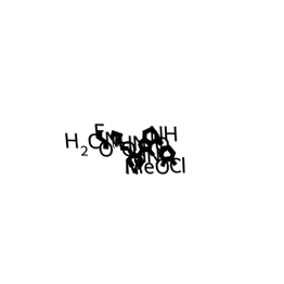 C=C(F)C(=O)N1CC[C@@H]1COc1cnccc1-c1[nH]c2c(c1Nc1cccc(Cl)c1OC)C(=O)NCC2